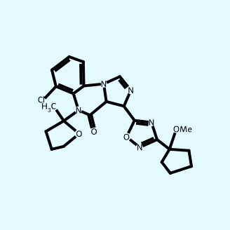 COC1(c2noc(C3N=CN4c5cccc(Cl)c5N(C5(C)CCCO5)C(=O)C34)n2)CCCC1